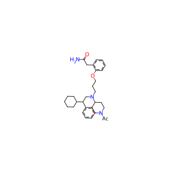 CC(=O)N1CCC(N(CCCOc2ccccc2CC(N)=O)CC(c2ccccc2)C2CCCCC2)CC1